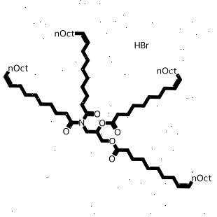 Br.CCCCCCCC/C=C\CCCCCCCC(=O)OCC(CN(C(=O)CCCCCCC/C=C\CCCCCCCC)C(=O)CCCCCCC/C=C\CCCCCCCC)OC(=O)CCCCCCC/C=C\CCCCCCCC